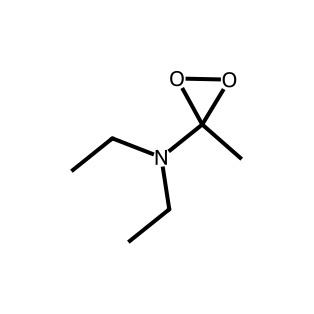 CCN(CC)C1(C)OO1